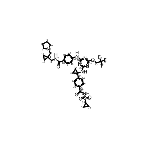 O=C(NCC1(CN2CCCC2)CC1)c1ccc(Nc2nc(NC3(c4ccc(C(=O)NS(=O)(=O)C5CC5)cc4)CC3)nc(OCC(F)(F)F)n2)cc1